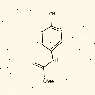 COC(=O)Nc1ccc(C#N)nc1